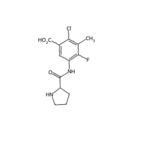 Cc1c(F)c(NC(=O)C2CCCN2)cc(C(=O)O)c1Cl